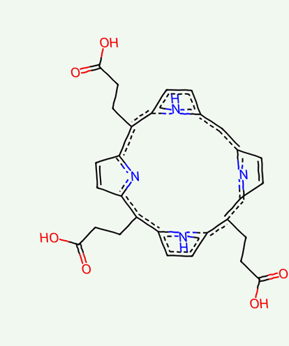 O=C(O)CCc1c2nc(c(CCC(=O)O)c3ccc([nH]3)c(CCC(=O)O)c3nc(cc4ccc1[nH]4)C=C3)C=C2